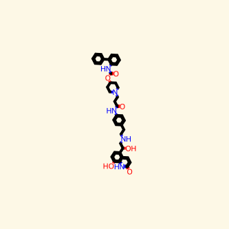 O=C(CCN1CCC(OC(=O)Nc2ccccc2-c2ccccc2)CC1)Nc1ccc(CCNCC(O)c2ccc(O)c3[nH]c(=O)ccc23)cc1